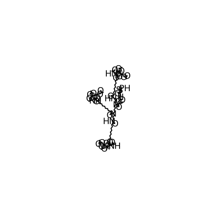 CCC(OC(=O)CCC(=O)C[SH](=P)=S)C(=O)N(CCCCN(CCCNC(=O)CCCCCCCCCO[C@@H]1OC(COC(C)=O)[C@H](OC(C)=O)[C@H](C)C1NC(C)=O)C(=O)CCCCCCCCCO[C@@H]1OC(COC(C)=O)[C@H](OC(C)=O)[C@H](C)C1NC(C)=O)CCCNC(=O)CCCCCCCCCO[C@@H]1OC(COC(C)=O)[C@H](OC(C)=O)[C@H](C)C1NC(C)=O